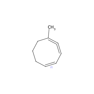 CC1=C=C/C=C\CCC1